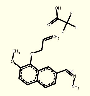 C=CCOc1c(OC)ccc2ccc(/C=N\N)cc12.O=C(O)C(F)(F)F